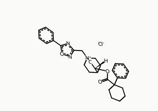 O=C(O[C@H]1C[N+]2(Cc3noc(-c4ccccc4)n3)CCC1CC2)C1(c2ccccc2)CCCCC1.[Cl-]